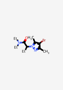 CCC(C(=O)N(CC)CC)n1nc(C)c(Br)c1C